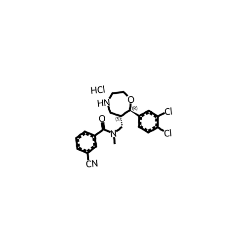 CN(C[C@@H]1CNCCO[C@H]1c1ccc(Cl)c(Cl)c1)C(=O)c1cccc(C#N)c1.Cl